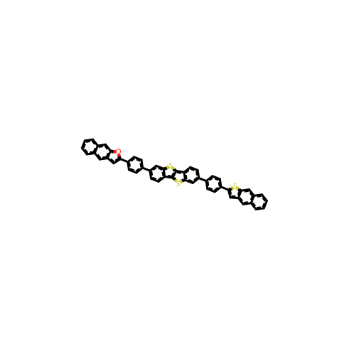 c1ccc2cc3oc(-c4ccc(-c5ccc6c(c5)sc5c7ccc(-c8ccc(-c9cc%10cc%11ccccc%11cc%10s9)cc8)cc7sc65)cc4)cc3cc2c1